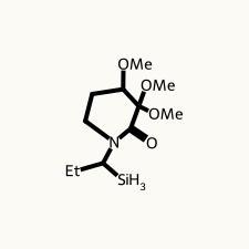 CCC([SiH3])N1CCC(OC)C(OC)(OC)C1=O